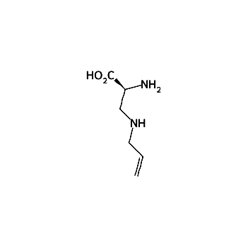 C=CCNC[C@H](N)C(=O)O